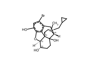 C[N+]1(CC2CC2)CC[C@]23c4c5c(Br)cc(O)c4O[C@@H]2[C@@H](O)CCC3(O)[C@H]1C5